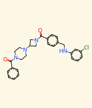 O=C(c1ccccc1)N1CCN(C2CN(C(=O)c3ccc(CNc4cccc(Cl)c4)cc3)C2)CC1